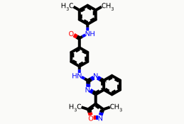 Cc1cc(C)cc(NC(=O)c2ccc(Nc3nc(-c4c(C)noc4C)c4ccccc4n3)cc2)c1